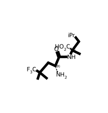 CC(C)C[C@](C)(NC(=O)[C@H](N)CC(C)(C)C(F)(F)F)C(=O)O